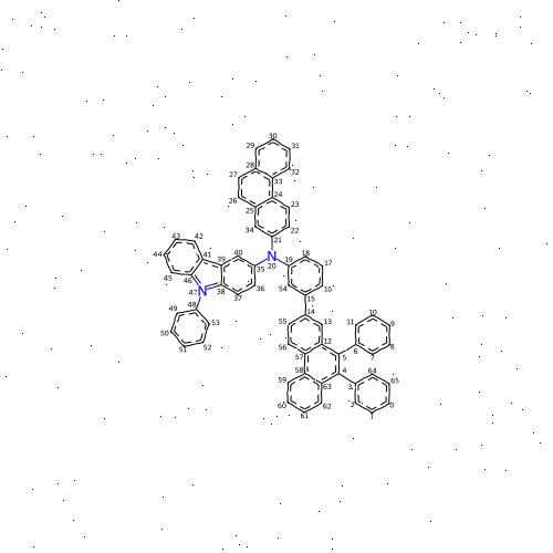 c1ccc(-c2c(-c3ccccc3)c3cc(-c4cccc(N(c5ccc6c(ccc7ccccc76)c5)c5ccc6c(c5)c5ccccc5n6-c5ccccc5)c4)ccc3c3ccccc23)cc1